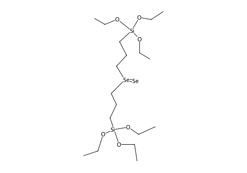 CCO[Si](CCC[Se](=[Se])CCC[Si](OCC)(OCC)OCC)(OCC)OCC